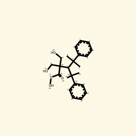 CC(C)(c1ccccc1)C(C(CO)(CO)C(=O)OO)C(C)(C)c1ccccc1